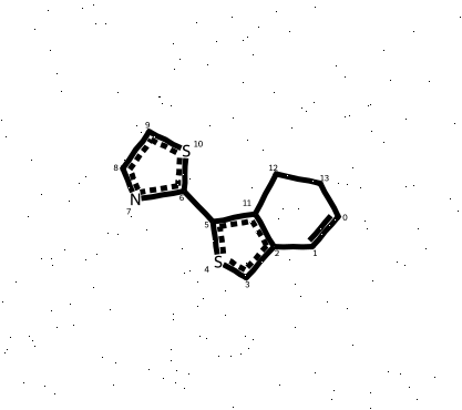 C1=Cc2csc(-c3nccs3)c2CC1